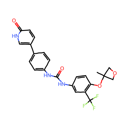 CC1(Oc2ccc(NC(=O)Nc3ccc(-c4ccc(=O)[nH]c4)cc3)cc2C(F)(F)F)COC1